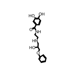 O=C(NCCNCC(O)COc1ccccc1)c1ccc(O)c(O)c1